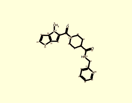 Cn1c(C(=O)N2CCC(C(=O)NCc3ccccn3)CC2)cc2sccc21